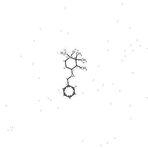 CC1C(OCc2ccccc2)CC[N+](C)([O-])C1(C)C